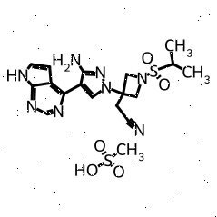 CC(C)S(=O)(=O)N1CC(CC#N)(n2cc(-c3ncnc4[nH]ccc34)c(N)n2)C1.CS(=O)(=O)O